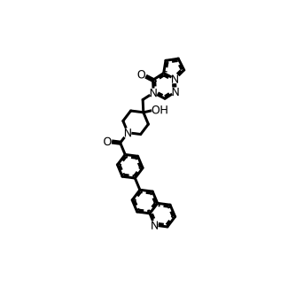 O=C(c1ccc(-c2ccc3ncccc3c2)cc1)N1CCC(O)(Cn2cnn3cccc3c2=O)CC1